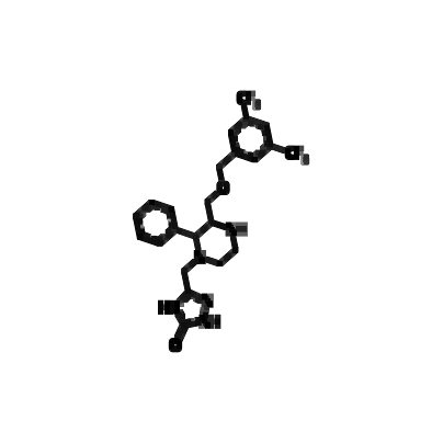 O=c1[nH]nc(CN2CCNC(COCc3cc(C(F)(F)F)cc(C(F)(F)F)c3)C2c2ccccc2)[nH]1